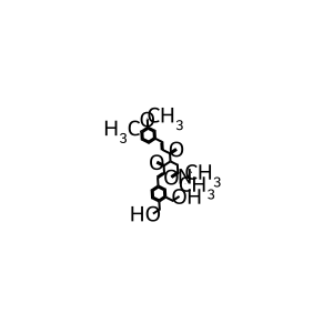 COc1cc(/C=C/C(=O)C(CC(=O)N(C)C)C(=O)/C=C/c2ccc(CO)c(CO)c2)ccc1C